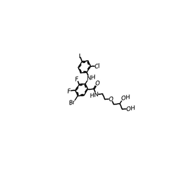 O=C(NCCOCC(O)CO)c1cc(Br)c(F)c(F)c1Nc1ccc(I)cc1Cl